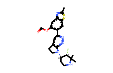 Cc1nc2cc(OC=O)c(-c3cc4c(nn3)N([C@H]3CCNC(C)(C)[C@H]3F)CC4)cc2s1